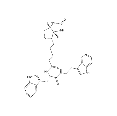 O=C(CCCC[C@@H]1SC[C@@H]2NC(=O)N[C@@H]21)N[C@@H](Cc1c[nH]c2ccccc12)C(=O)NCCc1c[nH]c2ccccc12